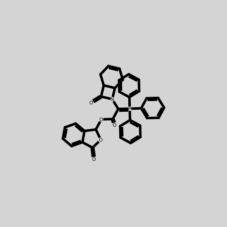 O=C(OC1OC(=O)c2ccccc21)C(N1C(=O)C2CC=CCC21)=P(c1ccccc1)(c1ccccc1)c1ccccc1